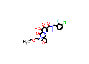 CCOCCN1C(=O)c2c(O)c(=O)c(C(=O)NCc3cccc(Cl)c3F)cn2CC12CCOC2